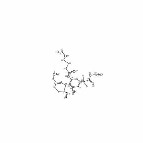 C=C(C)[C@H]1CCC(COC(C)=O)=C[C@@H]1c1c(O)cc(C(C)(C)C(=O)OCCCCCC)cc1OC(=O)CCCO[N+](=O)[O-]